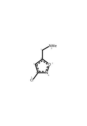 CNCc1cc(Cl)no1